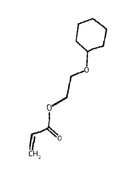 C=CC(=O)OCCOC1CCCCC1